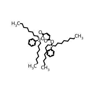 CCCCCCCCS(CCCCCCCC)(OC(=O)/C=C\C(=O)OS(CCCCCCCC)(CCCCCCCC)c1ccccc1)c1ccccc1